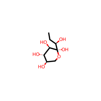 CC[C@@H](O)[C@@]1(O)OC[C@@H](O)[C@H](O)[C@H]1O